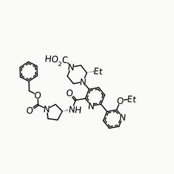 CCOc1ncccc1-c1ccc(N2CCN(C(=O)O)C[C@@H]2CC)c(C(=O)N[C@@H]2CCN(C(=O)OCc3ccccc3)C2)n1